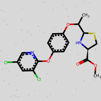 COC(=O)[C@@H]1CSC(C(C)Oc2ccc(Oc3ncc(Cl)cc3Cl)cc2)N1